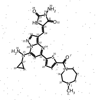 CN1CCCN(C(=O)c2ccc(-c3cc(N(N)C4CC4)n4ncc(/C=C5\BC(=O)N(N)C5=O)c4n3)s2)CC1